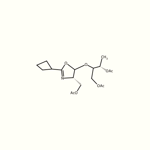 CC(=O)OCC(OC1OC(C2CCC2)=N[C@H]1COC(C)=O)[C@H](C)OC(C)=O